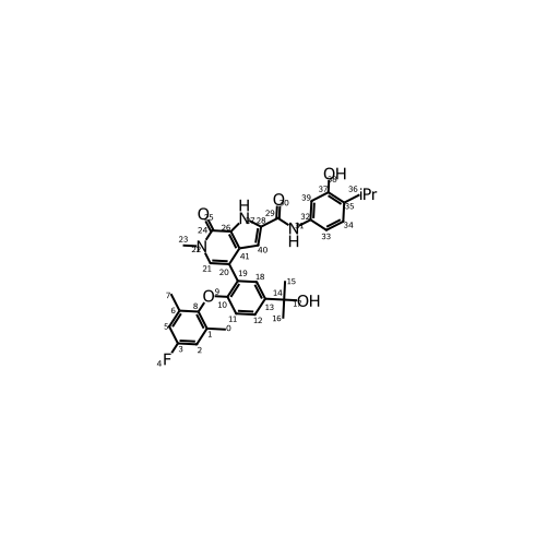 Cc1cc(F)cc(C)c1Oc1ccc(C(C)(C)O)cc1-c1cn(C)c(=O)c2[nH]c(C(=O)Nc3ccc(C(C)C)c(O)c3)cc12